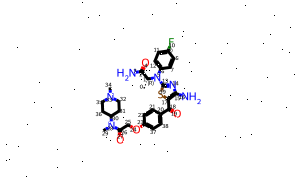 C[C@H](C(N)=O)N(c1ccc(F)cc1)c1nc(N)c(C(=O)c2ccc(OCC(=O)N(C)C3CCN(C)CC3)cc2)s1